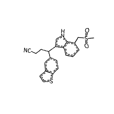 CS(=O)(=O)Cc1cccc2c(C(CCC#N)c3ccc4sccc4c3)c[nH]c12